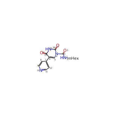 CCCCCCNC(=O)n1cc(-c2ccncc2)c(=O)[nH]c1=O